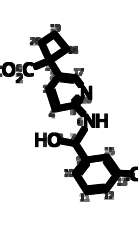 CCOC(=O)C1(c2ccc(NC(O)c3cccc(C#N)c3)nc2)CCC1